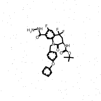 CC(C)(C)OC(=O)NC1CC(F)(F)c2cc(F)c(C(=O)NN)cc2N(Cc2ccc(Oc3ccccc3)cc2)C1=O